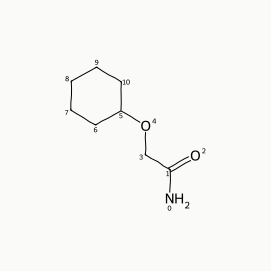 NC(=O)COC1CCCCC1